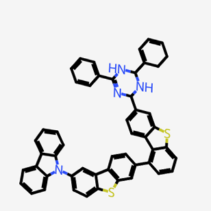 C1=CCCC(C2NC(c3ccccc3)=NC(c3ccc4c(c3)sc3cccc(-c5ccc6c(c5)sc5ccc(-n7c8ccccc8c8ccccc87)cc56)c34)N2)=C1